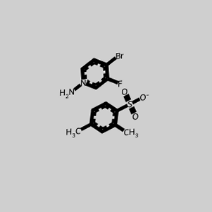 Cc1ccc(S(=O)(=O)[O-])c(C)c1.N[n+]1ccc(Br)c(F)c1